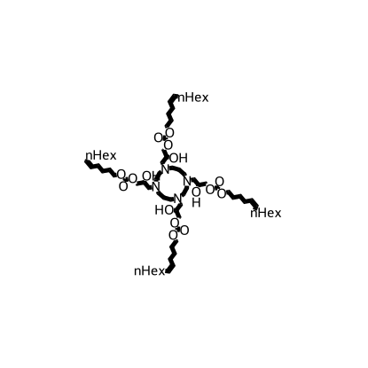 CCCCCC/C=C\CCCCOC(=O)OCC(O)CN1CCCN(CC(O)COC(=O)OCCCC/C=C\CCCCCC)CCN(CC(O)COC(=O)OCCCC/C=C\CCCCCC)CCCN(CC(O)COC(=O)OCCCC/C=C\CCCCCC)CC1